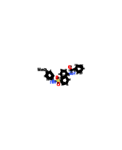 COc1ccc(NS(=O)(=O)c2cccc3c(NC(=O)c4ccccc4)cccc23)cc1